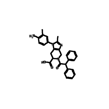 Cc1cc(-n2c(C)nc3c2CC(C(=O)O)N(C(=O)C(c2ccccc2)c2ccccc2)C3)ccc1N